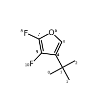 CC(C)(C)c1coc(F)c1F